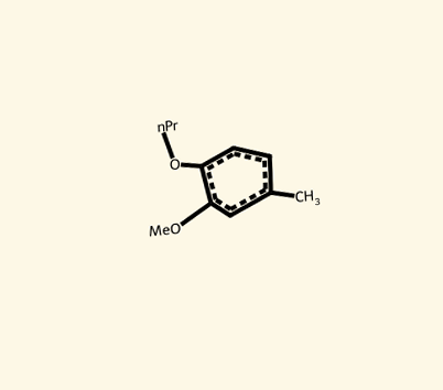 CCCOc1ccc(C)cc1OC